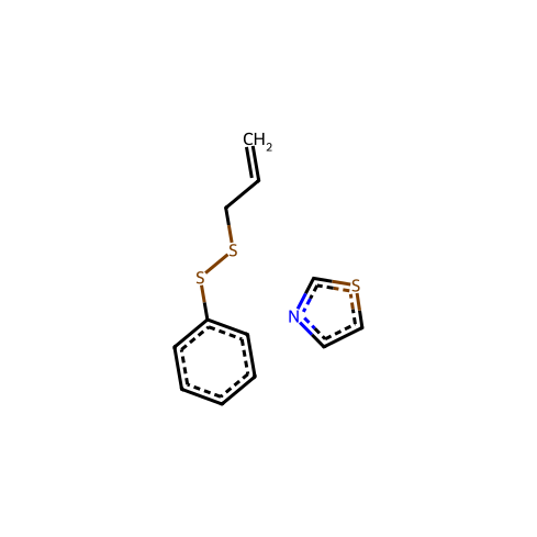 C=CCSSc1ccccc1.c1cscn1